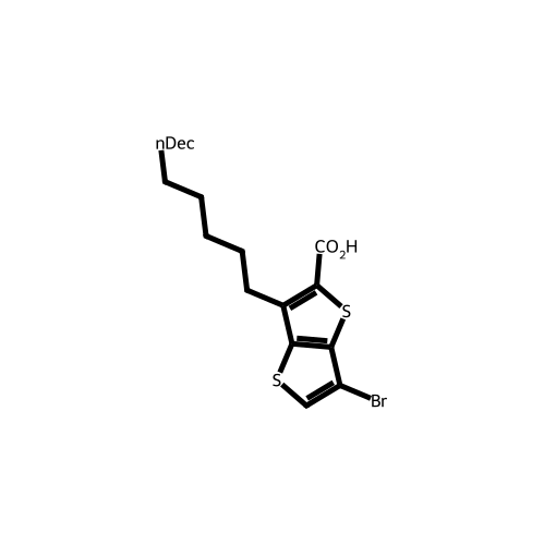 CCCCCCCCCCCCCCCc1c(C(=O)O)sc2c(Br)csc12